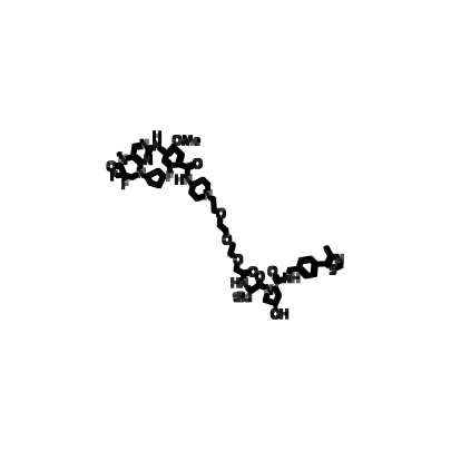 COc1cc(C(=O)NC2CCN(CCOCCOCCOCC(=O)N[C@H](C(=O)N3C[C@H](O)C[C@H]3C(=O)NCc3ccc(-c4scnc4C)cc3)C(C)(C)C)CC2)c(F)cc1Nc1ncc2c(n1)N(C1CCCC1)CC(F)(F)C(=O)N2C